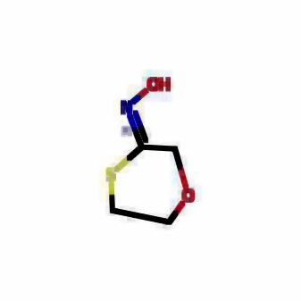 O/N=C1\COCCS1